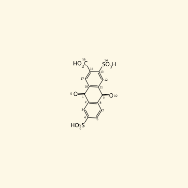 O=C1c2cc(S(=O)(=O)O)ccc2C(=O)c2cc(S(=O)(=O)O)c(C(=O)O)cc21